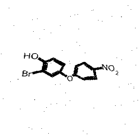 O=[N+]([O-])c1ccc(Oc2ccc(O)c(Br)c2)cc1